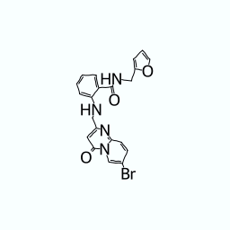 O=C(NCc1ccco1)c1ccccc1NCc1cc(=O)n2cc(Br)ccc2n1